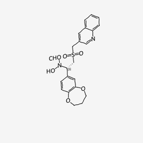 O=CN(O)[C@H](CS(=O)(=O)Cc1cnc2ccccc2c1)c1ccc2c(c1)OCCCO2